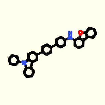 c1ccc(-n2c3ccccc3c3cc(-c4ccc(-c5ccc(Nc6cccc7c6oc6ccccc67)cc5)cc4)ccc32)cc1